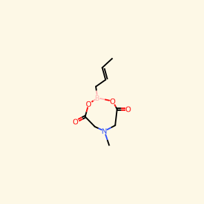 C/C=C/CB1OC(=O)CN(C)CC(=O)O1